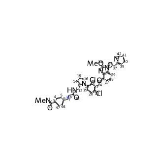 CNC(=O)c1ccc(/C=C/C(=O)NCc2cccn2-c2ccc(Cl)c(COc3cccc4c3nc(OC)n4OCc3ccccn3)c2Cl)cc1